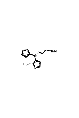 CNCCO[C@@H](c1cccs1)c1ccnn1C